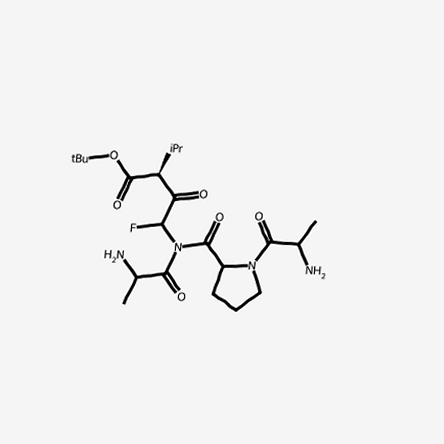 CC(N)C(=O)N1CCCC1C(=O)N(C(=O)C(C)N)C(F)C(=O)[C@@H](C(=O)OC(C)(C)C)C(C)C